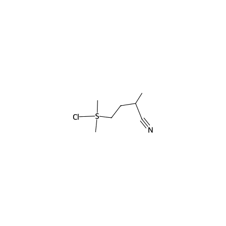 CC(C#N)CCS(C)(C)Cl